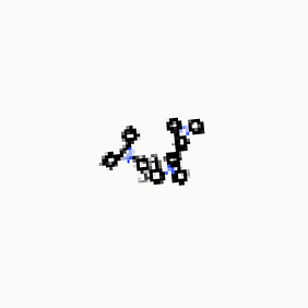 C=CC1=C(n2c3ccccc3c3cc(-c4ccc5c(c4)c4ccccc4n5C4C=CC=CC4)ccc32)C=CCC1c1ccc(-c2nc(-c3ccccc3)cc(-c3ccccc3)n2)cc1C